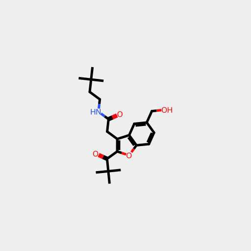 CC(C)(C)CCNC(=O)Cc1c(C(=O)C(C)(C)C)oc2ccc(CO)cc12